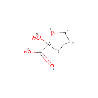 O=C(O)C1(O)CCCO1